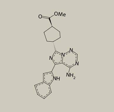 COC(=O)[C@H]1CC[C@H](c2nc(-c3cc4ccccc4[nH]3)c3c(N)ncnn32)CC1